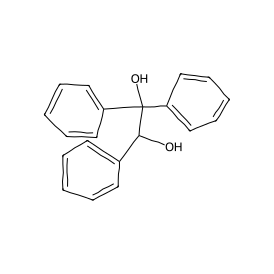 OC(c1ccccc1)C(O)(c1ccccc1)c1ccccc1